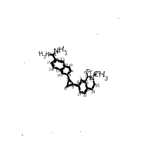 CC(C)C1c2cc(C3CC3c3ccc4cc(C(N)N)ccc4c3)ccc2CCN1C